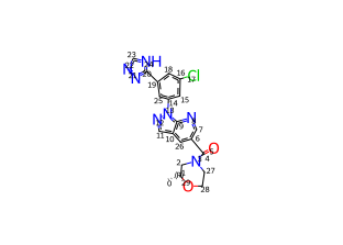 C[C@@H]1CN(C(=O)c2cnc3c(cnn3-c3cc(Cl)cc(-c4nnc[nH]4)c3)c2)CCO1